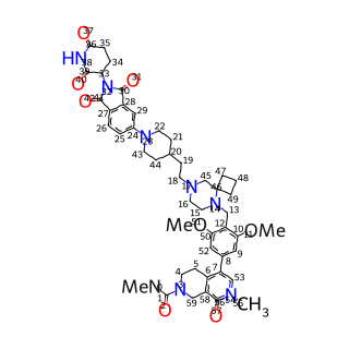 CNC(=O)N1CCc2c(-c3cc(OC)c(CN4CCN(CCC5CCN(c6ccc7c(c6)C(=O)N(C6CCC(=O)NC6=O)C7=O)CC5)CC45CCC5)c(OC)c3)cn(C)c(=O)c2C1